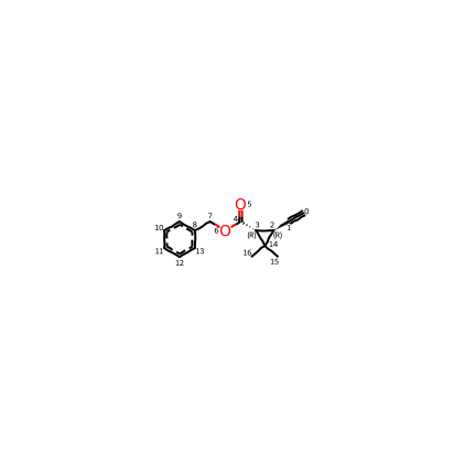 C#C[C@@H]1[C@@H](C(=O)OCc2ccccc2)C1(C)C